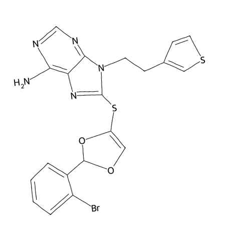 Nc1ncnc2c1nc(SC1=COC(c3ccccc3Br)O1)n2CCc1ccsc1